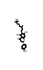 CC(=CCc1c(O)cc2c(c1O)C(=O)C[C@@H](c1ccc(O)cc1)O2)CCCC(C)(C)O